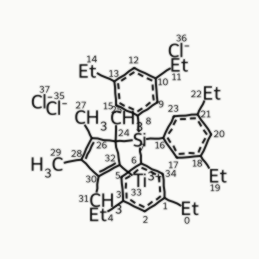 CCc1cc(CC)cc([Si](c2cc(CC)cc(CC)c2)(c2cc(CC)cc(CC)c2)C2(C)C(C)=C(C)C(C)=[C]2[Ti+3])c1.[Cl-].[Cl-].[Cl-]